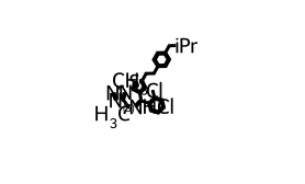 Cc1nnc2n1-c1sc(CCc3ccc(CC(C)C)cc3)cc1C(c1ccccc1Cl)=N[C@H]2C.Cl